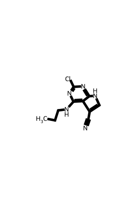 CCCNc1nc(Cl)nc2[nH]cc(C#N)c12